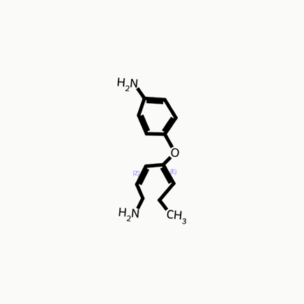 CC/C=C(\C=C/CN)Oc1ccc(N)cc1